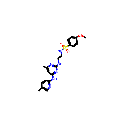 COc1ccc(S(=O)(=O)NCCNc2nc(C)cc(Nc3ccc(C)cn3)n2)cc1